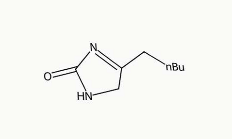 CCCCCC1=NC(=O)NC1